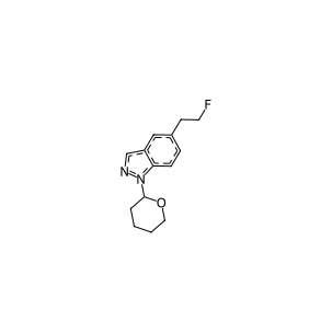 FCCc1ccc2c(cnn2C2CCCCO2)c1